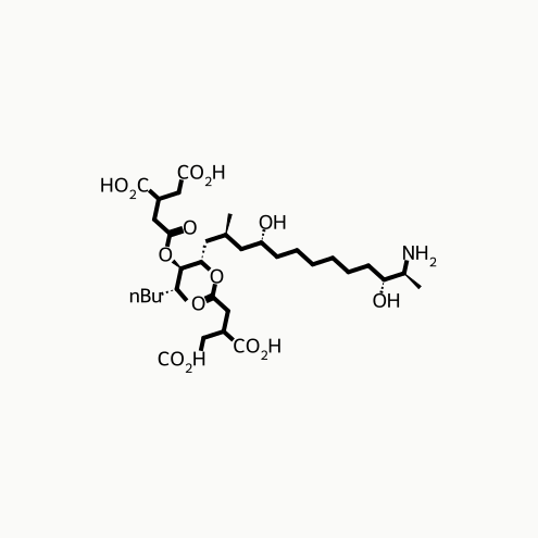 CCCC[C@@H](C)[C@@H](OC(=O)CC(CC(=O)O)C(=O)O)[C@H](C[C@@H](C)C[C@H](O)CCCCCC[C@@H](O)[C@H](C)N)OC(=O)CC(CC(=O)O)C(=O)O